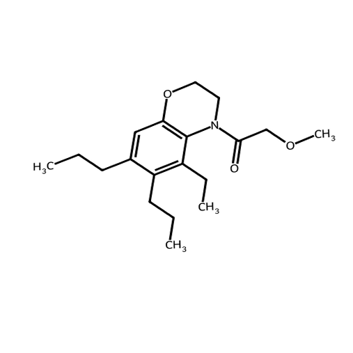 CCCc1cc2c(c(CC)c1CCC)N(C(=O)COC)CCO2